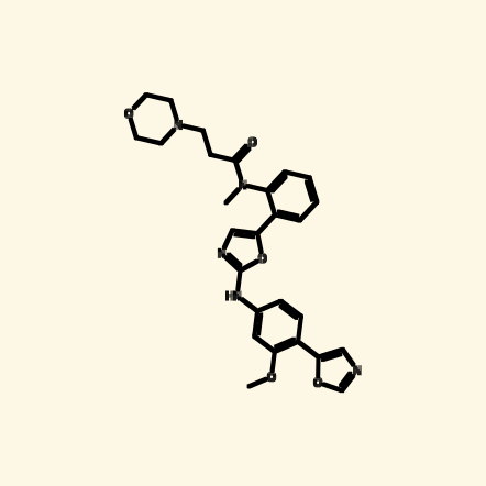 COc1cc(Nc2ncc(-c3ccccc3N(C)C(=O)CCN3CCOCC3)o2)ccc1-c1cnco1